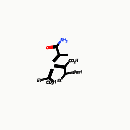 C=C(C(=O)O)C(CC)CCCCC.C=C(C)C(N)=O.C=C(CC)C(=O)O